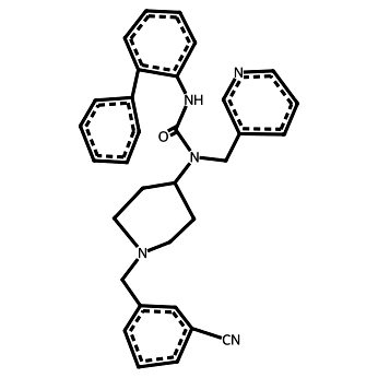 N#Cc1cccc(CN2CCC(N(Cc3cccnc3)C(=O)Nc3ccccc3-c3ccccc3)CC2)c1